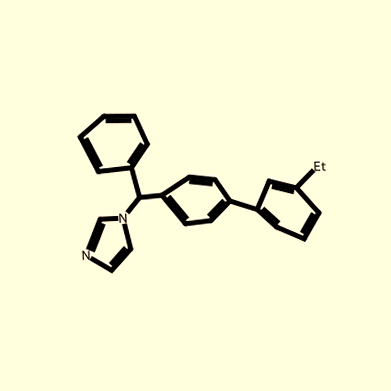 CCc1cccc(-c2ccc(C(c3ccccc3)n3ccnc3)cc2)c1